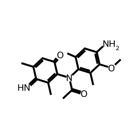 COc1c(N)cc(C)c(N(C(C)=O)C2=C(C)C(=N)C(C)=CC2=O)c1C